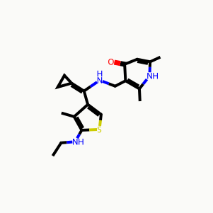 CCNc1scc(C(NCc2c(C)[nH]c(C)cc2=O)=C2CC2)c1C